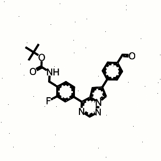 CC(C)(C)OC(=O)NCc1ccc(-c2ncnn3cc(-c4ccc(C=O)cc4)cc23)cc1F